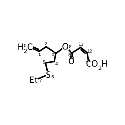 C=CCC(CCSCC)OC(=O)/C=C\C(=O)O